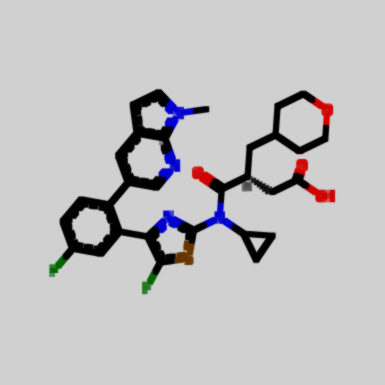 Cn1ccc2cc(-c3ccc(F)cc3-c3nc(N(C(=O)[C@@H](CC(=O)O)CC4CCOCC4)C4CC4)sc3F)cnc21